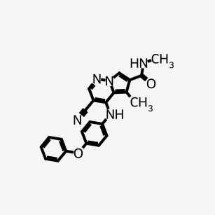 CNC(=O)c1cn2ncc(C#N)c(Nc3ccc(Oc4ccccc4)cc3)c2c1C